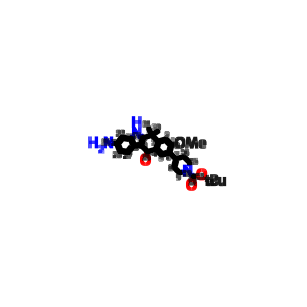 COc1cc2c(cc1C1=CCN(C(=O)OC(C)(C)C)CC1)C(=O)c1c([nH]c3cc(N)ccc13)C2(C)C